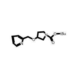 CC(C)(C)OC(=O)N1CCC(OCc2ccccn2)C1